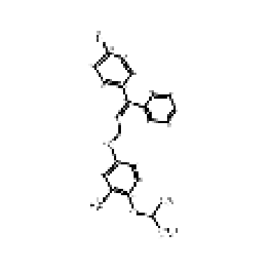 Cc1cc(OC/C=C(\c2ccccc2)c2ccc(Br)cc2)ccc1OC(C)C(=O)O